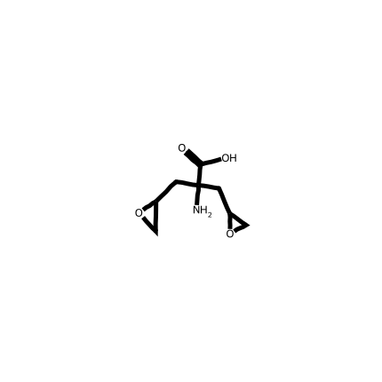 NC(CC1CO1)(CC1CO1)C(=O)O